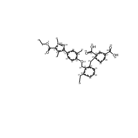 CCOC(=O)c1c(C)c(-c2ccc(OCc3c(CC)cccc3Cc3ccc(C(=O)O)cc3C(=O)O)c(C)c2)nn1C